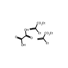 C=C(CC)C(=O)OCC.C=C(CC)C(=O)OCC.O=C(O)C(=O)O